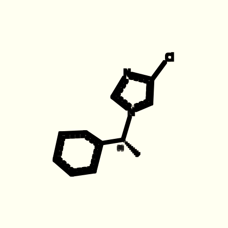 C[C@H](c1ccccc1)n1cnc(Cl)c1